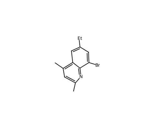 CCc1cc(Br)c2nc(C)cc(C)c2c1